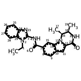 CCn1c(NC(=O)c2ccc3cc4n(c3c2)[C@@H](C)[C@@H](C)NC4=O)nc2ccccc21